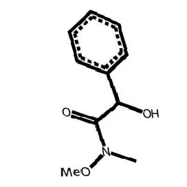 CON(C)C(=O)C(O)c1ccccc1